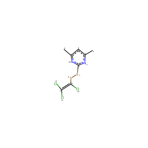 Cc1cc(C)nc(SSC(Cl)=C(Cl)Cl)n1